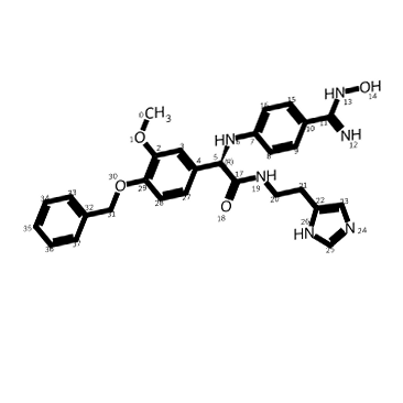 COc1cc([C@@H](Nc2ccc(C(=N)NO)cc2)C(=O)NCCc2cnc[nH]2)ccc1OCc1ccccc1